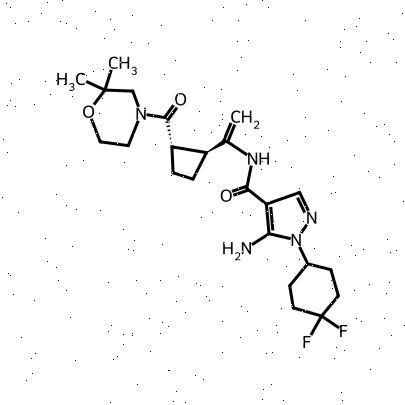 C=C(NC(=O)c1cnn(C2CCC(F)(F)CC2)c1N)[C@H]1CC[C@@H]1C(=O)N1CCOC(C)(C)C1